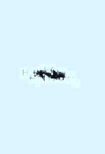 CCOc1cc(-c2nnc(C)o2)ccc1C(=O)NC[C@@H](O)CCc1ccc(OC)cc1CN